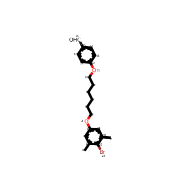 Cc1cc(OCCCCCCOc2ccc(C=O)cc2)cc(C)c1Br